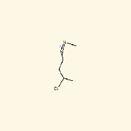 CCC(C)CC/N=N\C